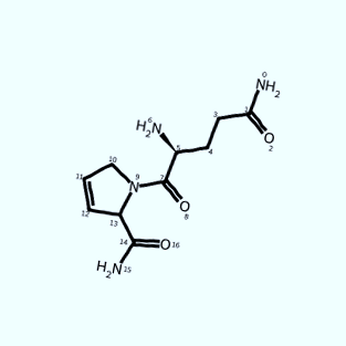 NC(=O)CC[C@H](N)C(=O)N1CC=CC1C(N)=O